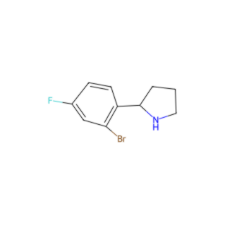 Fc1ccc(C2CCCN2)c(Br)c1